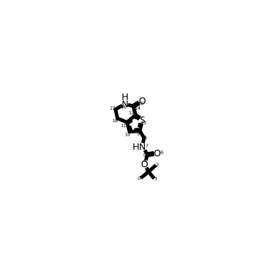 CC(C)(C)OC(=O)NCc1cc2c(s1)C(=O)NCC2